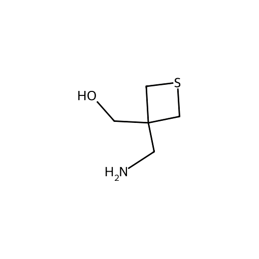 NCC1(CO)CSC1